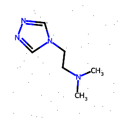 CN(C)CCn1[c]nnc1